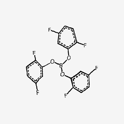 Fc1ccc(F)c(OB(Oc2cc(F)ccc2F)Oc2cc(F)ccc2F)c1